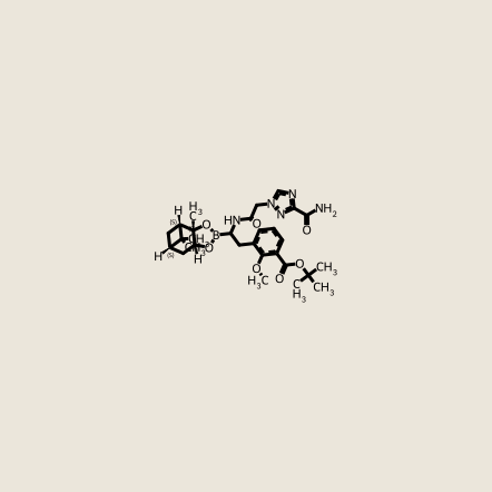 COc1c(CC(NC(=O)Cn2cnc(C(N)=O)n2)B2O[C@@H]3C[C@@H]4C[C@@H](C4(C)C)[C@]3(C)O2)cccc1C(=O)OC(C)(C)C